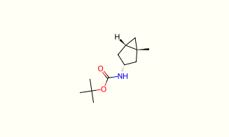 CC(C)(C)OC(=O)N[C@@H]1C[C@@H]2C[C@]2(C)C1